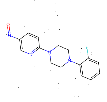 O=Nc1ccc(N2CCN(c3ccccc3F)CC2)nc1